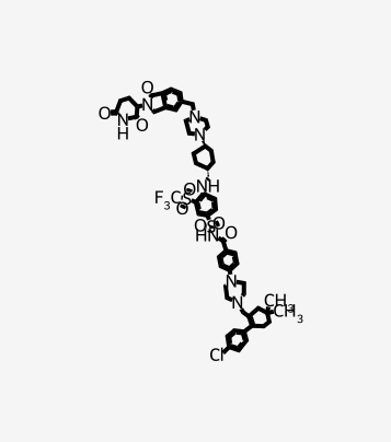 CC1(C)CCC(c2ccc(Cl)cc2)=C(CN2CCN(c3ccc(C(=O)NS(=O)(=O)c4ccc(NC[C@H]5CC[C@H](N6CCN(Cc7ccc8c(c7)CN(C7CCC(=O)NC7=O)C8=O)CC6)CC5)c(S(=O)(=O)C(F)(F)F)c4)cc3)CC2)C1